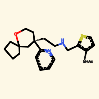 CC(=O)Nc1ccsc1CNCC[C@@]1(c2ccccn2)CCOC2(CCCC2)C1